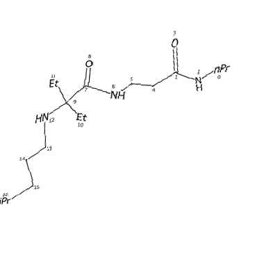 CCCNC(=O)CCNC(=O)C(CC)(CC)NCCCC(C)C